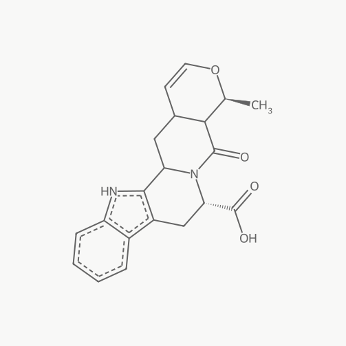 C[C@@H]1OC=CC2CC3c4[nH]c5ccccc5c4C[C@@H](C(=O)O)N3C(=O)C21